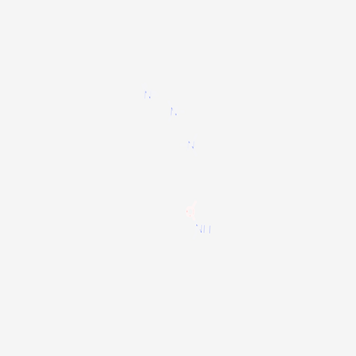 Cc1ccccc1NOCCCN1CCN(c2ccccn2)CC1